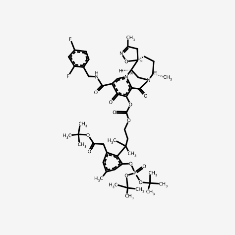 CC1=NO[C@@]2(CC[C@H](C)N3C[C@H]2n2cc(C(=O)NCc4ccc(F)cc4F)c(=O)c(OC(=O)OCCC(C)(C)c4c(CC(=O)OC(C)(C)C)cc(C)cc4OP(=O)(OC(C)(C)C)OC(C)(C)C)c2C3=O)C1